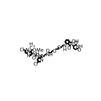 CO[C@@H](C)c1c(NC(=O)Nc2cc(Cl)cnc2OCCNC(=O)CCOCCOCCNc2cccc3c2C(=O)N(C2CCC(=O)NC2=O)C3O)cnc2cc(Cl)nn12